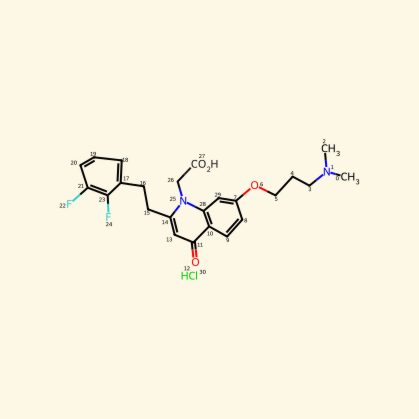 CN(C)CCCOc1ccc2c(=O)cc(CCc3cccc(F)c3F)n(CC(=O)O)c2c1.Cl